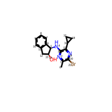 Cc1nc(N[C@@H]2c3ccccc3C[C@@H]2O)c(C2CC2)nc1Br